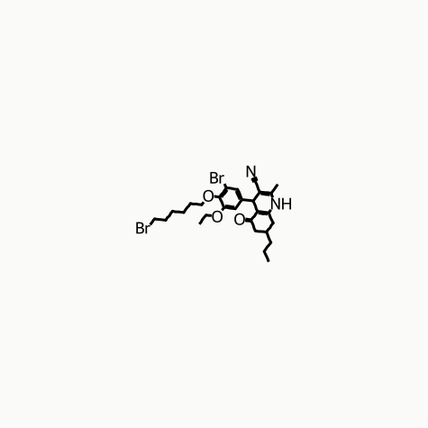 CCCC1CC(=O)C2=C(C1)NC(C)=C(C#N)C2c1cc(Br)c(OCCCCCCBr)c(OCC)c1